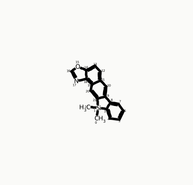 C[Si]1(C)c2ccccc2-c2cc3ccc4ocnc4c3cc21